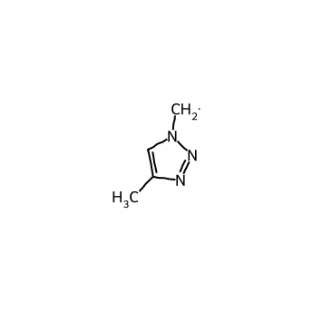 [CH2]n1cc(C)nn1